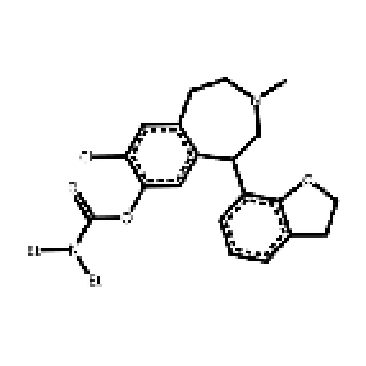 CCN(CC)C(=O)Oc1cc2c(cc1Cl)CCN(C)CC2c1cccc2c1OCC2